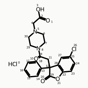 Cl.O=C(O)CN1CCN(C(=O)CC2(c3ccccc3)C(=O)Oc3ccc(Cl)cc32)CC1